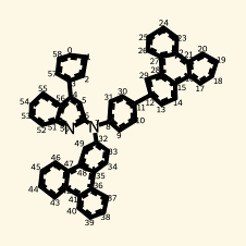 c1ccc(-c2cc(N(c3ccc(-c4ccc5c6ccccc6c6ccccc6c5c4)cc3)c3ccc4c5ccccc5c5ccccc5c4c3)nc3ccccc23)cc1